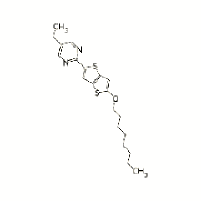 CCCCCCCCOc1cc2sc(-c3ncc(CC)cn3)cc2s1